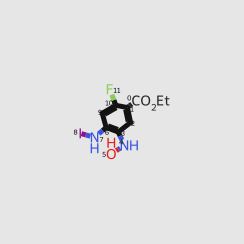 CCOC(=O)c1cc(NO)c(NI)cc1F